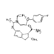 CC(=Nc1ccc2c(c1)[C@@H](C(N)=O)[C@H](O)C2)N(C)CCOc1ccc(F)cc1